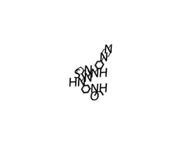 C=CC(=O)Nc1cccc(Nc2nc(Nc3ccc(N4CCN(C)CC4)cc3)nc3c2SCC3)c1